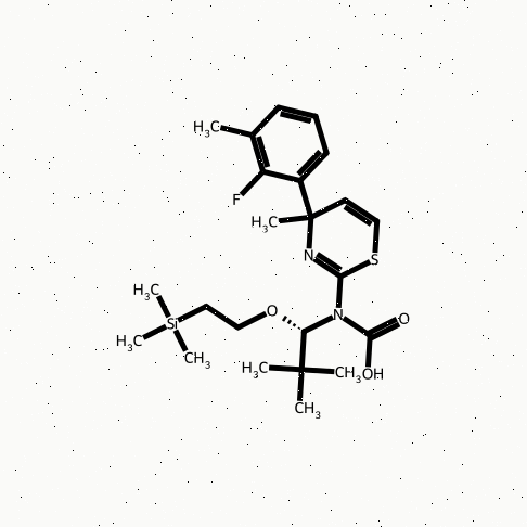 Cc1cccc(C2(C)C=CSC(N(C(=O)O)[C@@H](OCC[Si](C)(C)C)C(C)(C)C)=N2)c1F